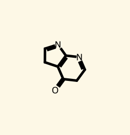 O=C1CC=NC2=C1CC=N2